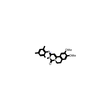 COc1cc2c(cc1OC)-c1c/c(=N/c3c(C)cc(C)cc3C)n(C)c(=O)n1CC2